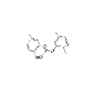 Cc1ccc(C)c(OP(O)Oc2cc(C)ccc2C)c1